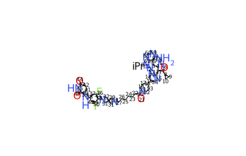 CC(C)n1nc(-c2noc(C3CC3)c2-c2ncc(C3CCN(C(=O)CCCCCCN4CC5(C4)CN(c4c(F)cc(NC6CCC(=O)NC6=O)cc4F)C5)CC3)cn2)c2c(N)ncnc21